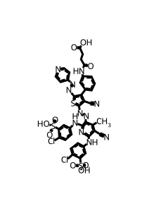 Cc1c(C#N)c(Nc2ccc(Cl)c(S(=O)(=O)O)c2)nc(Nc2ccc(Cl)c(S(=O)(=O)O)c2)c1N=Nc1sc(N=Nc2ccncc2)c(-c2cccc(NC(=O)CCC(=O)O)c2)c1C#N